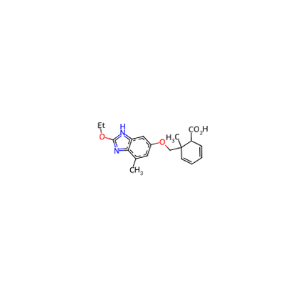 CCOc1nc2c(C)cc(OCC3(C)C=CC=CC3C(=O)O)cc2[nH]1